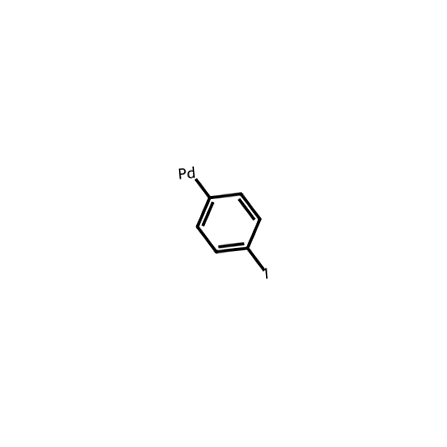 [Pd][c]1ccc(I)cc1